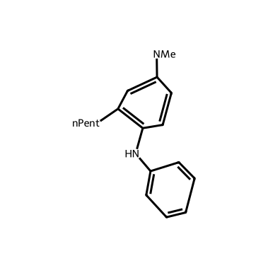 CCCCCc1cc(NC)ccc1Nc1ccccc1